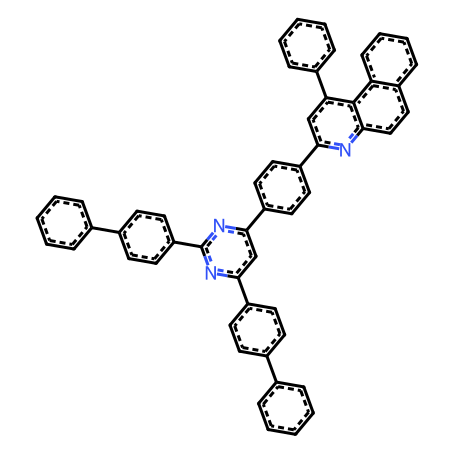 c1ccc(-c2ccc(-c3cc(-c4ccc(-c5cc(-c6ccccc6)c6c(ccc7ccccc76)n5)cc4)nc(-c4ccc(-c5ccccc5)cc4)n3)cc2)cc1